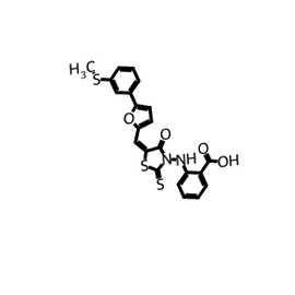 CSc1cccc(-c2ccc(/C=C3/SC(=S)N(Nc4ccccc4C(=O)O)C3=O)o2)c1